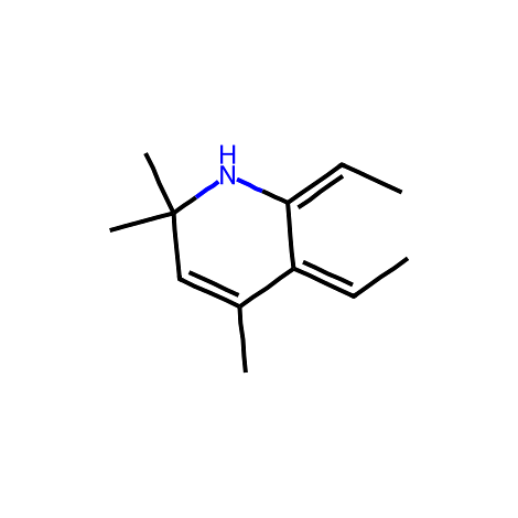 C/C=C1/C(C)=CC(C)(C)N/C1=C/C